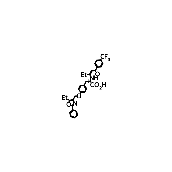 CCC(=CC(=O)c1ccc(C(F)(F)F)cc1)N[C@@H](Cc1ccc(OCc2nc(-c3ccccc3)oc2CC)cc1)C(=O)O